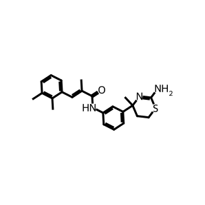 C/C(=C\c1cccc(C)c1C)C(=O)Nc1cccc(C2(C)CCSC(N)=N2)c1